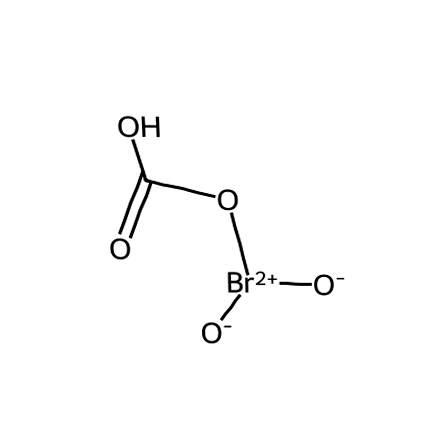 O=C(O)O[Br+2]([O-])[O-]